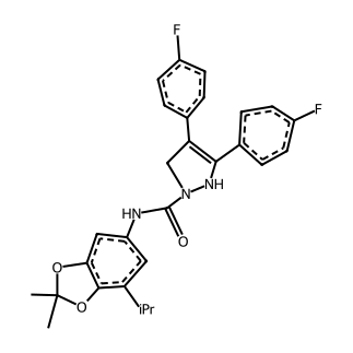 CC(C)c1cc(NC(=O)N2CC(c3ccc(F)cc3)=C(c3ccc(F)cc3)N2)cc2c1OC(C)(C)O2